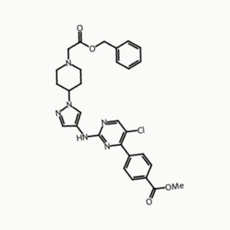 COC(=O)c1ccc(-c2nc(Nc3cnn(C4CCN(CC(=O)OCc5ccccc5)CC4)c3)ncc2Cl)cc1